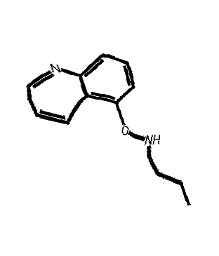 CCCNOc1cccc2ncccc12